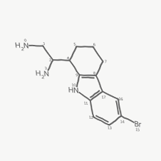 NCC(N)C1CCCc2c1[nH]c1ccc(Br)cc21